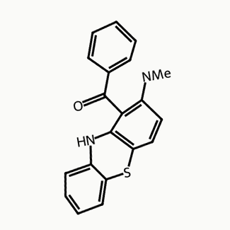 CNc1ccc2c(c1C(=O)c1ccccc1)Nc1ccccc1S2